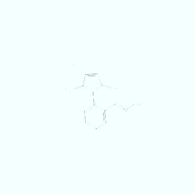 CCCCN=Cc1ccccc1C1=C(C)C(C)=CC1C